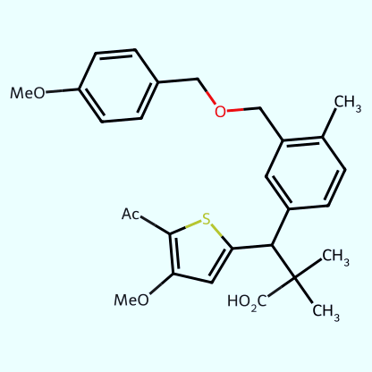 COc1ccc(COCc2cc(C(c3cc(OC)c(C(C)=O)s3)C(C)(C)C(=O)O)ccc2C)cc1